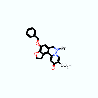 CC(C)N1Cc2cc(OCc3ccccc3)c3c(c2-c2cc(=O)c(C(=O)O)cn21)CCO3